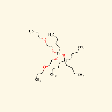 CCC[CH2][Sn]([CH2]CCC)([CH2]CCC)[O][Sn]([CH2]CCC)([O]CCOCCC)[O]CCOCCC